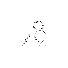 CC1(C)C=Cc2ccccc2C(N=C=O)=C1